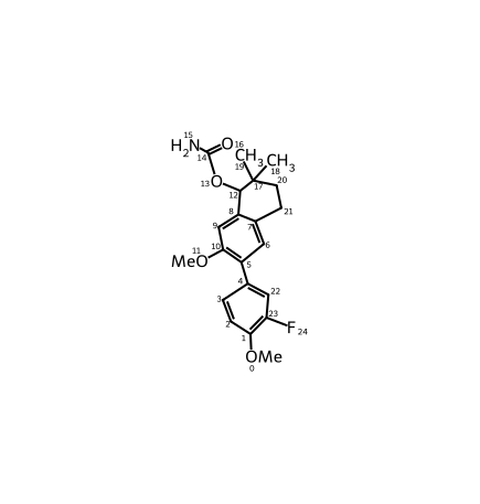 COc1ccc(-c2cc3c(cc2OC)C(OC(N)=O)C(C)(C)CC3)cc1F